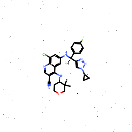 [2H][C@](Nc1cc(Cl)c2ncc(C#N)c(NC3CCOCC3(C)C)c2c1)(c1ccc(F)cc1)c1cn(C2CC2)nn1